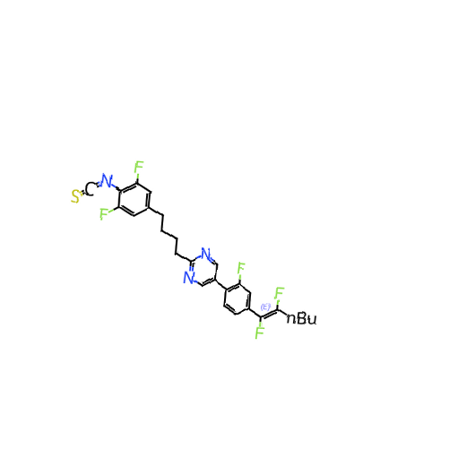 CCCC/C(F)=C(\F)c1ccc(-c2cnc(CCCCc3cc(F)c(N=C=S)c(F)c3)nc2)c(F)c1